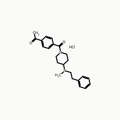 CC(=O)c1ccc(C(=O)N2CCC(N(C)CCc3ccccc3)CC2)cc1.Cl